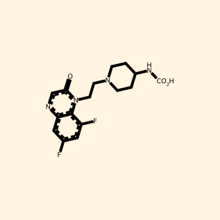 O=C(O)NC1CCN(CCn2c(=O)cnc3cc(F)cc(F)c32)CC1